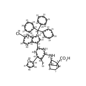 O=C(O)C1C2CCC(CC2)C1Nc1nc(-c2cn(C(c3ccccc3)(c3ccccc3)c3ccccc3)c3nc(Cl)cnc23)nc(-c2ccco2)c1F